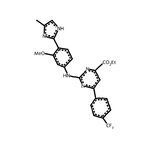 CCOC(=O)c1cc(-c2ccc(C(F)(F)F)cc2)nc(Nc2ccc(-c3nc(C)c[nH]3)c(OC)c2)n1